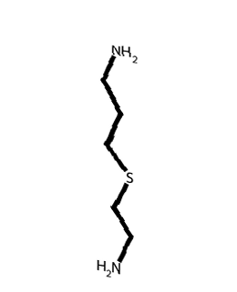 NCCCSCCN